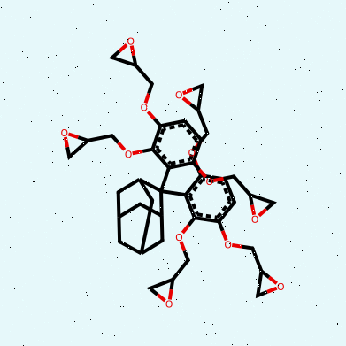 c1cc(OCC2CO2)c(C2(c3c(OCC4CO4)ccc(OCC4CO4)c3OCC3CO3)C3CC4CC(C3)CC2C4)c(OCC2CO2)c1OCC1CO1